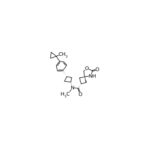 CN(C(=O)[C@H]1C[C@]2(COC(=O)N2)C1)[C@H]1C[C@@H](c2ccc(C3(C)CC3)cc2)C1